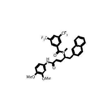 COc1ccc(NC(=O)C=CC(Cc2ccc3ccccc3c2)N(C)C(=O)c2cc(C(F)(F)F)cc(C(F)(F)F)c2)cc1OC